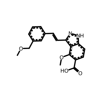 COCc1cccc(/C=C/c2n[nH]c3ccc(C(=O)O)c(OC)c23)c1